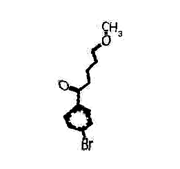 COCCCCC(=O)c1ccc(Br)cc1